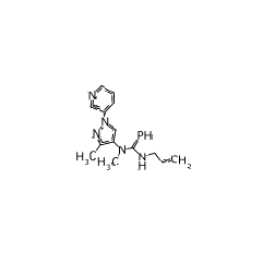 C=CCNC(=P)N(C)c1cn(-c2cccnc2)nc1C